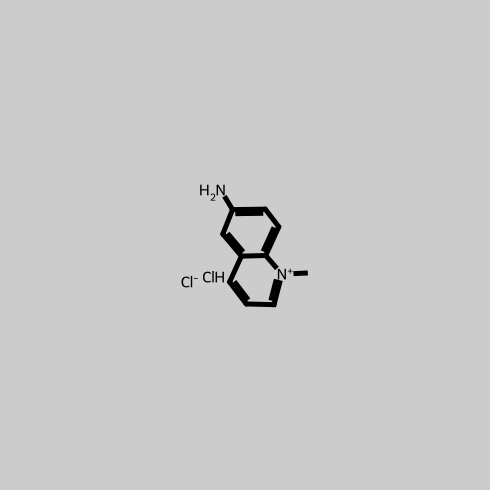 C[n+]1cccc2cc(N)ccc21.Cl.[Cl-]